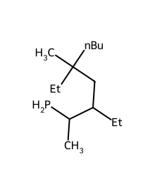 CCCCC(C)(CC)CC(CC)C(C)P